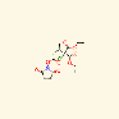 CCOC(=O)C(Cl)(C(=O)OCC)C(C)CC(=O)ON1C(=O)CCC1=O